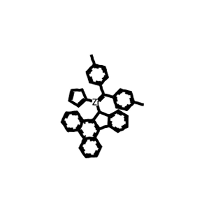 Cc1ccc([C](c2ccc(C)cc2)=[Zr]([C]2=CC=CC2)[CH]2c3ccccc3-c3c2c2ccccc2c2ccccc32)cc1